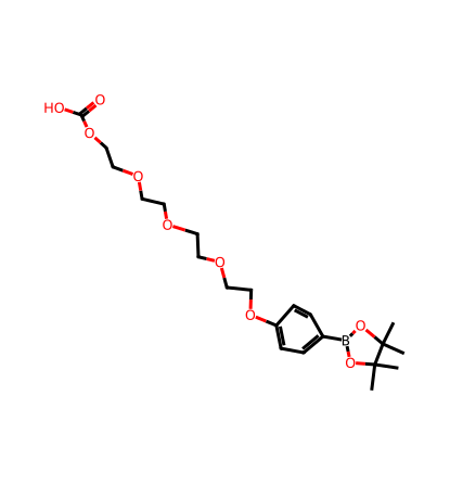 CC1(C)OB(c2ccc(OCCOCCOCCOCCOC(=O)O)cc2)OC1(C)C